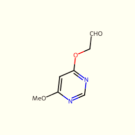 COc1cc(OCC=O)ncn1